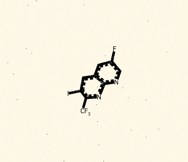 Fc1cnc2nc(C(F)(F)F)c(I)cc2c1